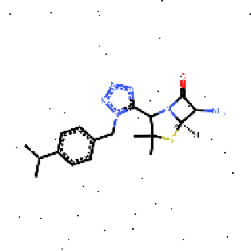 CC(C)c1ccc(Cn2nnnc2C2N3C(=O)C(N)[C@H]3SC2(C)C)cc1